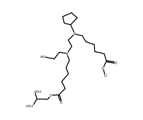 CCCCCCCCC(CCCCCCCC)COC(=O)CCCCCN(CCO)CCN(CCCCCC(=O)OCl)C1CCCC1